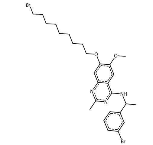 COc1cc2c(NC(C)c3cccc(Br)c3)nc(C)nc2cc1OCCCCCCCCCBr